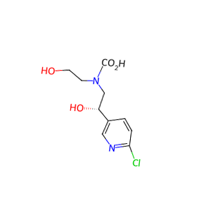 O=C(O)N(CCO)C[C@@H](O)c1ccc(Cl)nc1